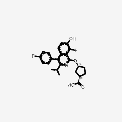 CC(C)c1nc(O[C@H]2CC[C@@H](C(=O)O)C2)c2c(F)c(O)ccc2c1-c1ccc(F)cc1